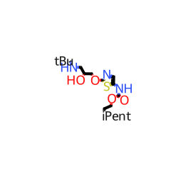 CCCC(C)CCOC(=O)Nc1cnc(OCC(O)CNC(C)(C)C)s1